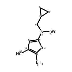 Bc1sc(N(CCC)CC2CC2)cc1C#N